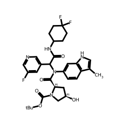 Cc1c[nH]c2cc(N(C(=O)[C@H]3C[C@@H](O)CN3C(=O)OC(C)(C)C)C(C(=O)NC3CCC(F)(F)CC3)c3cncc(F)c3)ccc12